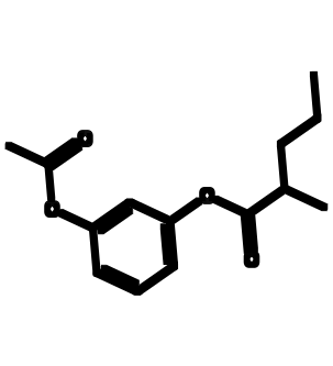 CCCC(C)C(=O)Oc1cccc(OC(C)=O)c1